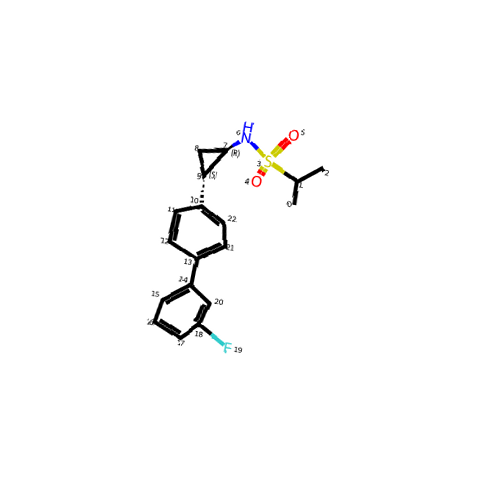 CC(C)S(=O)(=O)N[C@@H]1C[C@H]1c1ccc(-c2cccc(F)c2)cc1